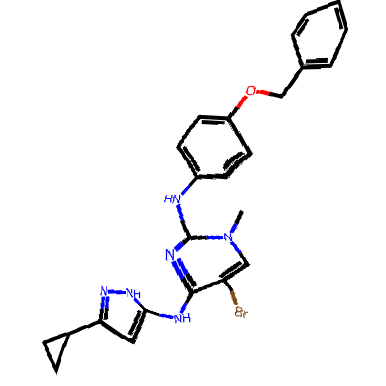 CN1C=C(Br)C(Nc2cc(C3CC3)n[nH]2)=NC1Nc1ccc(OCc2ccccc2)cc1